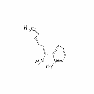 C=C/C=C\C=C(/N)c1cccc[n+]1CCC